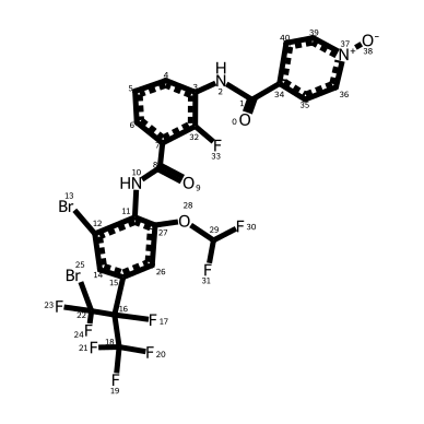 O=C(Nc1cccc(C(=O)Nc2c(Br)cc(C(F)(C(F)(F)F)C(F)(F)Br)cc2OC(F)F)c1F)c1cc[n+]([O-])cc1